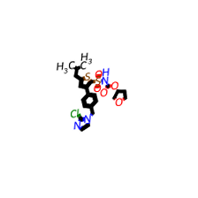 CC(C)Cc1cc(-c2ccc(Cn3ccnc3Cl)cc2)c(S(=O)(=O)NC(=O)O[C@@H]2CCOC2)s1